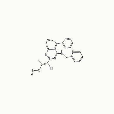 C=NO/C(C)=C(\CC)c1nc(NCc2ccccn2)c2c(-c3ccccc3)cccc2n1